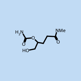 CNC(=O)CCC(CO)OC(N)=O